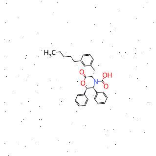 CCCCCc1cccc(C[C@H]2C(=O)O[C@H](c3ccccc3)[C@H](c3ccccc3)N2C(=O)O)c1